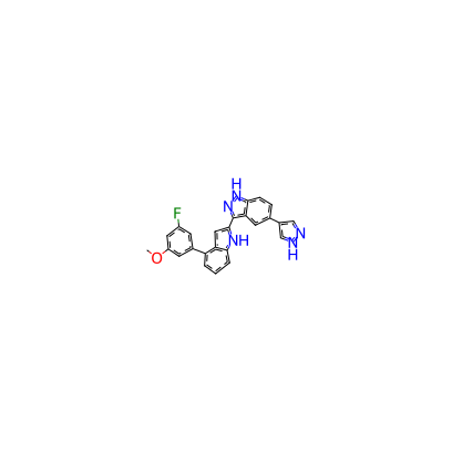 COc1cc(F)cc(-c2cccc3[nH]c(-c4n[nH]c5ccc(-c6cn[nH]c6)cc45)cc23)c1